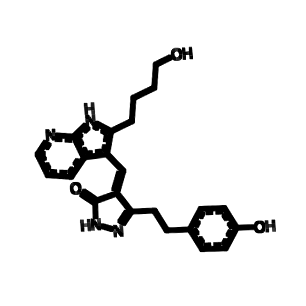 O=C1NN=C(CCc2ccc(O)cc2)C1=Cc1c(CCCCO)[nH]c2ncccc12